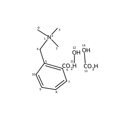 C[N+](C)(C)Cc1ccccc1.O=C(O)O.O=C(O)O